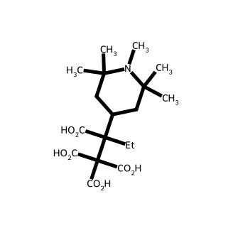 CCC(C(=O)O)(C1CC(C)(C)N(C)C(C)(C)C1)C(C(=O)O)(C(=O)O)C(=O)O